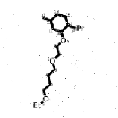 CCOCCCCOCCOC1CC(C)CCC1C(C)C